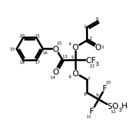 C=CC(=O)OC(OCCC(F)(F)S(=O)(=O)O)(C(=O)Oc1ccccc1)C(F)(F)F